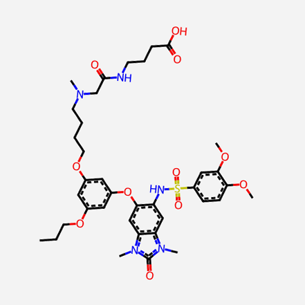 CCCOc1cc(OCCCCN(C)CC(=O)NCCCC(=O)O)cc(Oc2cc3c(cc2NS(=O)(=O)c2ccc(OC)c(OC)c2)n(C)c(=O)n3C)c1